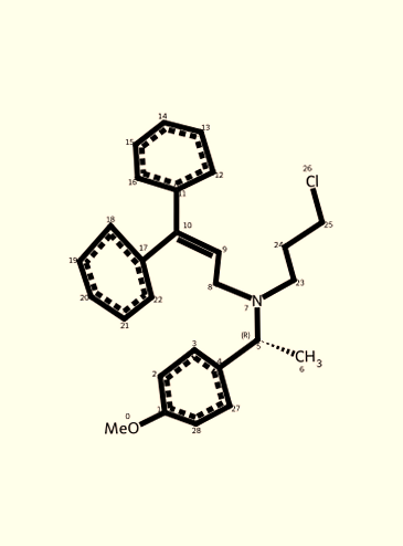 COc1ccc([C@@H](C)N(CC=C(c2ccccc2)c2ccccc2)CCCCl)cc1